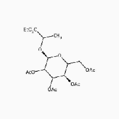 CCOC(=O)C(C)O[C@H]1OC(COC(C)=O)[C@@H](OC(C)=O)C(OC(C)=O)C1OC(C)=O